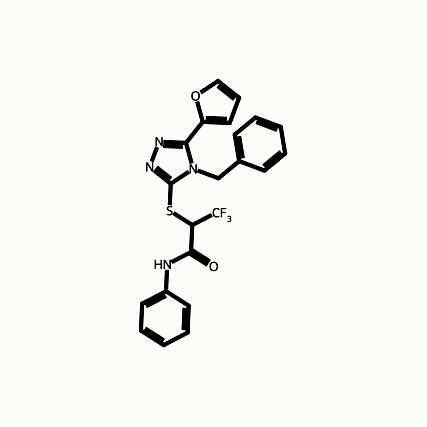 O=C(Nc1ccccc1)C(Sc1nnc(-c2ccco2)n1Cc1ccccc1)C(F)(F)F